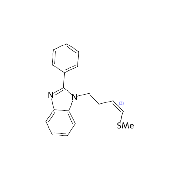 CS/C=C\CCn1c(-c2ccccc2)nc2ccccc21